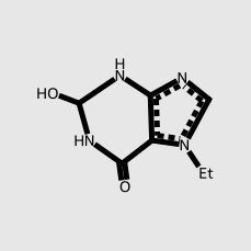 CCn1cnc2c1C(=O)NC(O)N2